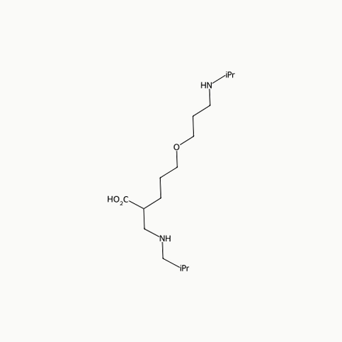 CC(C)CNCC(CCCOCCCNC(C)C)C(=O)O